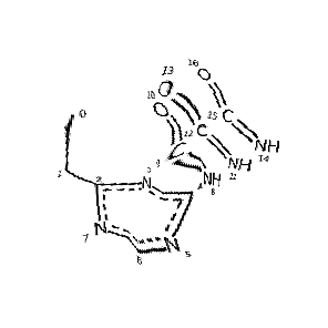 CCc1ncncn1.N=C=O.N=C=O.N=C=O